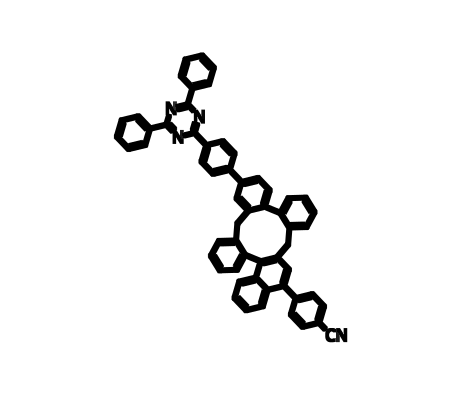 N#Cc1ccc(-c2cc3c(c4ccccc24)-c2ccccc2Cc2cc(-c4ccc(-c5nc(-c6ccccc6)nc(-c6ccccc6)n5)cc4)ccc2-c2ccccc2C3)cc1